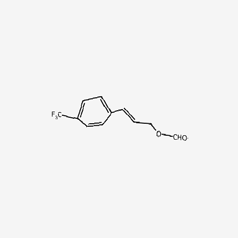 O=[C]OCC=Cc1ccc(C(F)(F)F)cc1